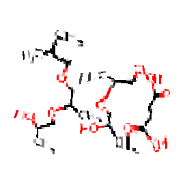 CC(C)COCC(C)OCC(C)O.CC(O)COC(C)CO.O=C(O)CCC(=O)O